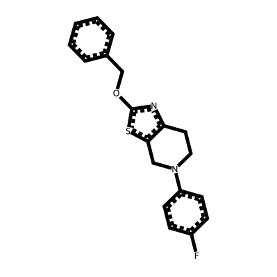 Fc1ccc(N2CCc3nc(OCc4ccccc4)sc3C2)cc1